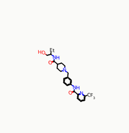 CCC(CO)NC(=O)C1CCN(Cc2cccc(NC(=O)c3cccc(C(F)(F)F)n3)c2)CC1